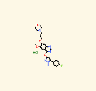 COc1cc2c(Oc3cc(-c4ccc(F)cc4)[nH]n3)ncnc2cc1OCCCN1CCOCC1.Cl